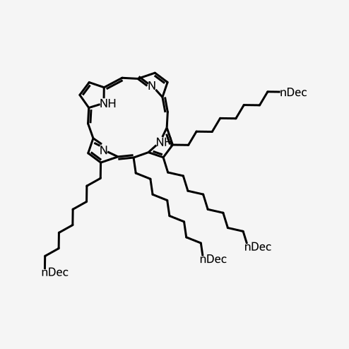 CCCCCCCCCCCCCCCCCCC1=Cc2cc3ccc(cc4nc(cc5[nH]c(c(CCCCCCCCCCCCCCCCCC)c1n2)c(CCCCCCCCCCCCCCCCCC)c5CCCCCCCCCCCCCCCCCC)C=C4)[nH]3